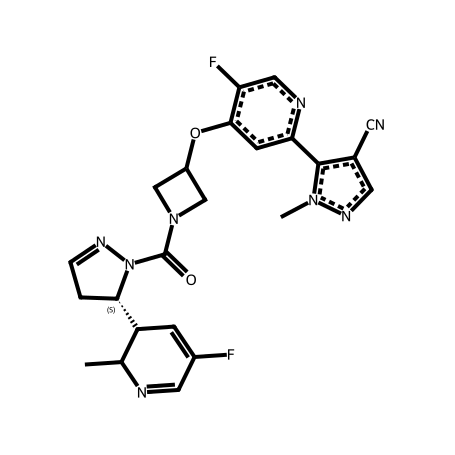 CC1N=CC(F)=CC1[C@@H]1CC=NN1C(=O)N1CC(Oc2cc(-c3c(C#N)cnn3C)ncc2F)C1